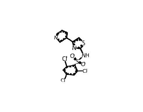 O=S(=O)(Nc1nc(-c2cccnc2)cs1)c1c(Cl)cc(Cl)cc1Cl